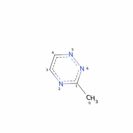 Cc1nccnn1